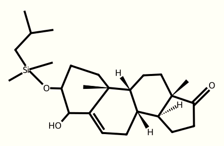 CC(C)C[Si](C)(C)OC1CC[C@@]2(C)C(=CC[C@@H]3[C@H]2CC[C@]2(C)C(=O)CC[C@@H]32)C1O